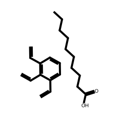 C=Cc1cccc(C=C)c1C=C.CCCCCCCCCC(=O)O